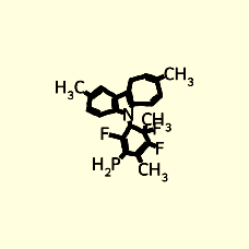 CC1=CCc2c(n(C3C(F)=C(P)C(C)=C(F)C3(C)F)c3ccc(C)cc23)C=C1